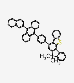 CC1(C)c2ccccc2-c2c1cc(-c1ccc(-c3c4ccccc4c(-c4ccc5ccccc5c4)c4ccccc34)cc1)c1c2sc2ccccc21